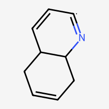 [C]1=NC2CC=CCC2C=C1